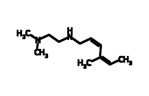 C/C=C(C)\C=C/CNCCN(C)C